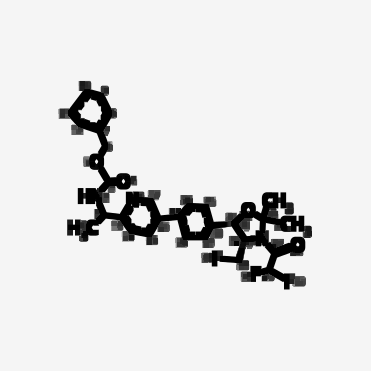 CC(NC(=O)OCc1ccccc1)c1ccc(-c2ccc([C@H]3OC(C)(C)N(C(=O)C(F)F)[C@H]3CF)cc2)cn1